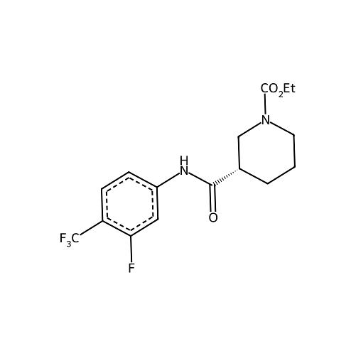 CCOC(=O)N1CCC[C@H](C(=O)Nc2ccc(C(F)(F)F)c(F)c2)C1